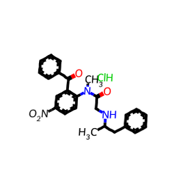 CC(Cc1ccccc1)NCC(=O)N(C)c1ccc([N+](=O)[O-])cc1C(=O)c1ccccc1.Cl